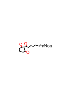 CCCCCCCCCCCCCCCC(=O)C1C(=O)CCCC1=O